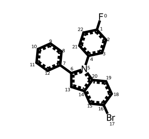 Fc1ccc(-n2c(-c3ccccc3)cc3cc(Br)ccc32)cc1